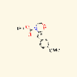 COc1ccc(C[C@@H]2COCCN2C(=O)OC(C)(C)C)cc1